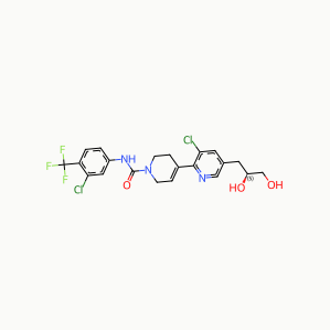 O=C(Nc1ccc(C(F)(F)F)c(Cl)c1)N1CC=C(c2ncc(C[C@H](O)CO)cc2Cl)CC1